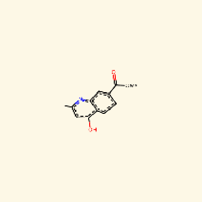 COC(=O)c1ccc2c(O)cc(C)nc2c1